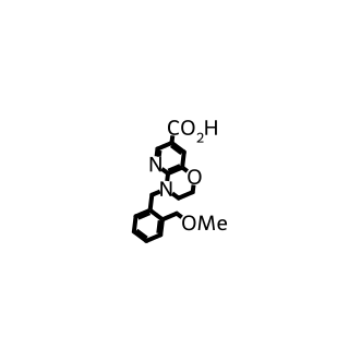 COCc1ccccc1CN1CCOc2cc(C(=O)O)cnc21